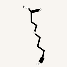 C#CCCCSCCC(C)=O